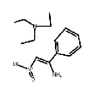 CCN(CC)CC.NC(=C[N+](=O)[O-])c1ccccc1